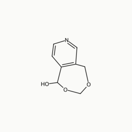 OC1OCOCc2cnccc21